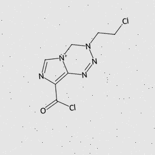 O=C(Cl)C1=C2N=NN(CCCl)C[N+]2C=N1